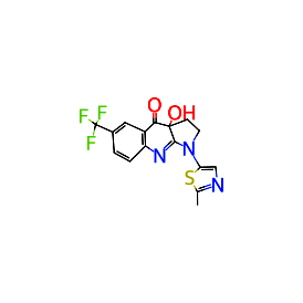 Cc1ncc(N2CCC3(O)C(=O)c4cc(C(F)(F)F)ccc4N=C23)s1